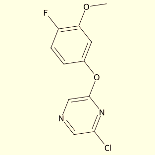 COc1cc(Oc2cncc(Cl)n2)ccc1F